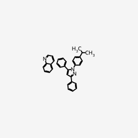 CC(C)c1ccc(-n2nc(-c3ccccc3)cc2-c2ccccc2)cc1.c1ccc2ncccc2c1